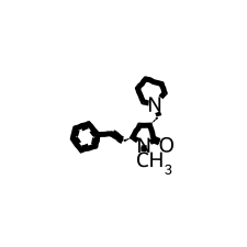 CN1C(=O)[C@@H](CN2CCCCC2)C[C@H]1C=Cc1ccccc1